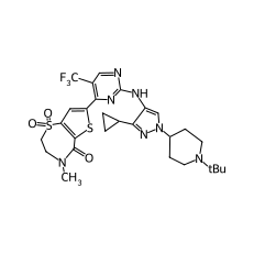 CN1CCS(=O)(=O)c2cc(-c3nc(Nc4cn(C5CCN(C(C)(C)C)CC5)nc4C4CC4)ncc3C(F)(F)F)sc2C1=O